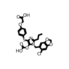 CCCc1nc(Sc2ccc(OCC(=O)O)cc2)c(OC(=O)O)n1Cc1cc2c(cc1Cl)OCO2